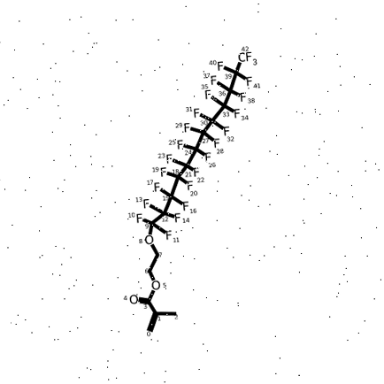 C=C(C)C(=O)OCCOC(F)(F)C(F)(F)C(F)(F)C(F)(F)C(F)(F)C(F)(F)C(F)(F)C(F)(F)C(F)(F)C(F)(F)C(F)(F)C(F)(F)F